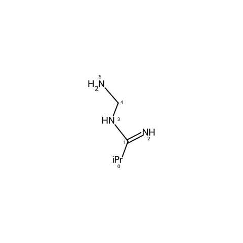 CC(C)C(=N)NCN